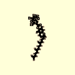 CCOP(=O)(CC)C(CCC(=O)Oc1c(C)cc2c(c1C)CCC(C)(CC/C=C(\C)CC/C=C(\C)CCC=C(C)C)O2)P(=O)(OCC)OCC